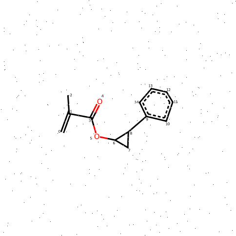 C=C(C)C(=O)OC1CC1c1ccccc1